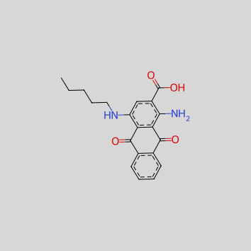 CCCCCNc1cc(C(=O)O)c(N)c2c1C(=O)c1ccccc1C2=O